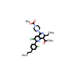 COCCc1ccc(-c2nc3c(C(=O)OC)c(COC)nc(N4CCN(C(=O)OC(C)(C)C)CC4)c3cc2Cl)c(F)c1